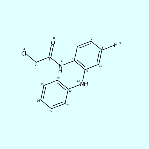 O=C(CCl)Nc1ccc(F)cc1Nc1ccccc1